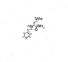 CSCC[C@H](NCCc1ccccc1)C(N)=O